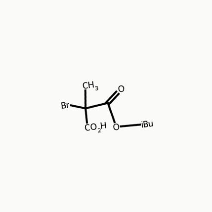 CCC(C)OC(=O)C(C)(Br)C(=O)O